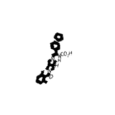 C1CCCC1.Cc1cccc(C)c1C(=O)N1CC2CN(CC(NC(=O)O)c3ccccc3)C[C@@H]2C1